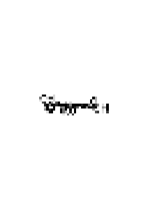 CS(=O)(=O)N(C/C=C/c1cccc(CO)c1)CCCCCCC(=O)O